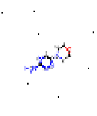 Nc1ncc(N2CCOCC2)nn1